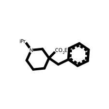 CCOC(=O)C1(Cc2ccccc2)CCCN(C(C)C)C1